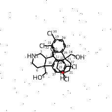 O=C(C1CNCCC1(CO)c1ccc(Cl)c(Cl)c1)C1CNCCC1(CO)c1ccc(Cl)c(Cl)c1